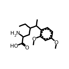 CCC(CC(N)C(=O)O)C(C)c1ccc(OC)cc1OC